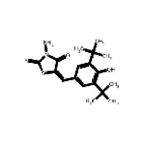 CC(C)(C)c1cc(C=C2SC(=S)N(N)C2=O)cc(C(C)(C)C)c1O